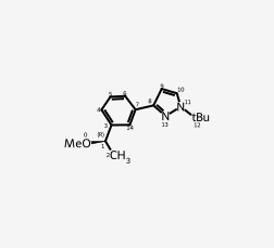 CO[C@H](C)c1cccc(-c2ccn(C(C)(C)C)n2)c1